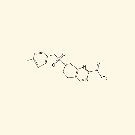 Cc1ccc(CS(=O)(=O)N2CCc3[c]nc(C(N)=O)nc3C2)cc1